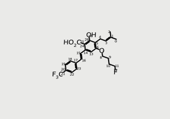 CC(C)=CCc1c(OCCCCF)cc(/C=C/c2ccc(C(F)(F)F)cc2)c(C(=O)O)c1O